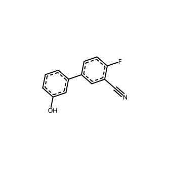 N#Cc1cc(-c2cccc(O)c2)ccc1F